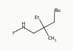 CCC(C)CC(C)(CC)CNI